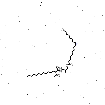 CCCCCCCC/C=C\CCCCCCCC(=O)OCC(C)CNC(=O)C(CCCCCCCCCCCC)C(C)=O